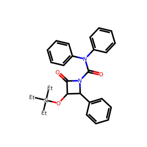 CC[Si](CC)(CC)OC1C(=O)N(C(=O)N(c2ccccc2)c2ccccc2)C1c1ccccc1